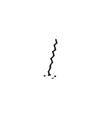 CS(=O)(=O)C(CCCCCCCCCCCN)S(C)(=O)=O